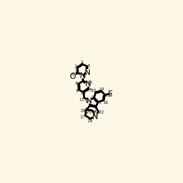 O=c1cccnn1-c1ccc(Cn2c3c(c4cc(F)ccc42)CN2CCC3CC2)cn1